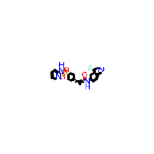 O=C(Nc1ccc2cncc(F)c2c1)[C@@H]1C[C@H]1c1ccc(S(=O)(=O)Nc2ccccn2)cc1